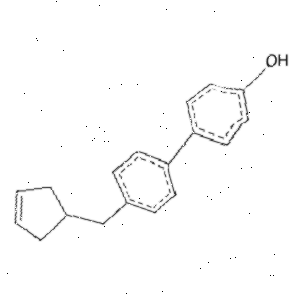 Oc1ccc(-c2ccc(CC3CC=CC3)cc2)cc1